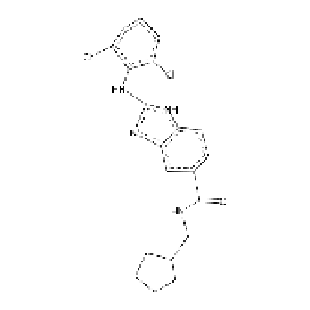 O=C(NCC1CCCC1)c1ccc2[nH]c(Nc3c(Cl)cccc3Cl)nc2c1